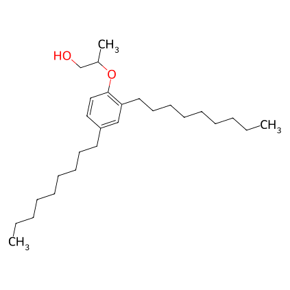 CCCCCCCCCc1ccc(OC(C)CO)c(CCCCCCCCC)c1